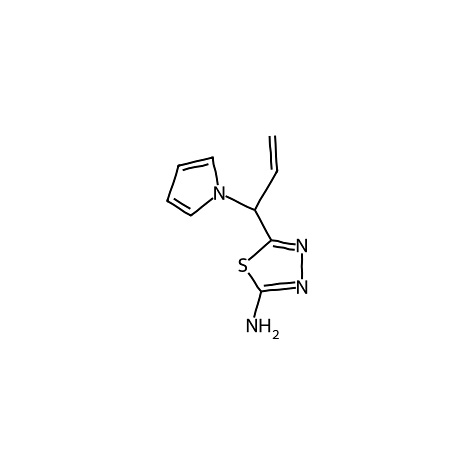 C=CC(c1nnc(N)s1)n1cccc1